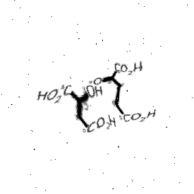 O=C(O)CC(O)C(=O)O.O=C(O)CCC(=O)C(=O)O